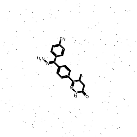 CC1CC(=O)NN=C1c1ccc(C(=NN)c2ccc(C#N)cc2)cc1